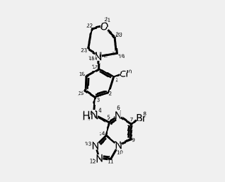 Clc1cc(Nc2nc(Br)cn3cnnc23)ccc1N1CCOCC1